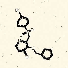 O=c1ccoc(CS(=O)(=O)c2ccc(Br)cc2)c1OCc1ccccc1